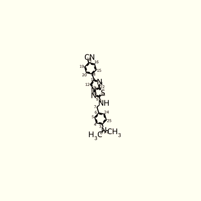 CN(C)c1ccc(CNc2nn3cc(-c4ccc(C#N)cc4)nc3s2)cc1